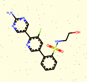 Nc1ncc(-c2ncc(-c3ccccc3S(=O)(=O)NCCO)cc2F)cn1